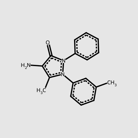 Cc1cccc(-n2c(C)c(N)c(=O)n2-c2ccccc2)c1